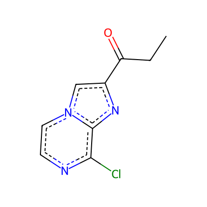 CCC(=O)c1cn2ccnc(Cl)c2n1